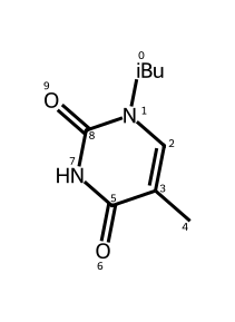 CCC(C)n1cc(C)c(=O)[nH]c1=O